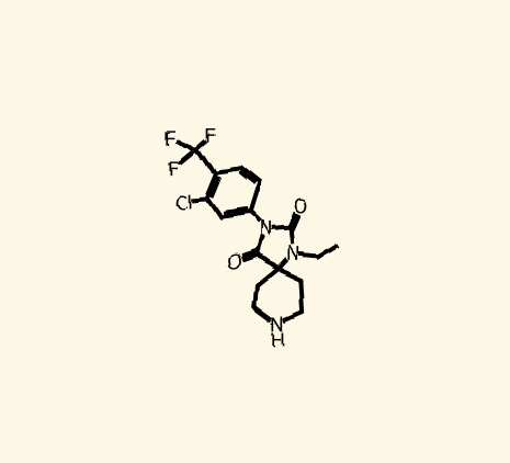 CCN1C(=O)N(c2ccc(C(F)(F)F)c(Cl)c2)C(=O)C12CCNCC2